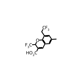 Cc1cc2c(c(CC(F)(F)F)c1)OC(C(F)(F)F)C(C(=O)O)=C2